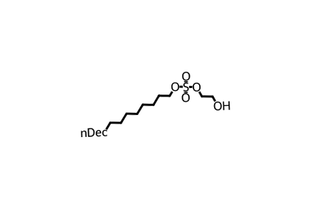 CCCCCCCCCCCCCCCCCCOS(=O)(=O)OCCO